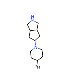 [2H]C1CCN(C2CC3CNCC3C2)CC1